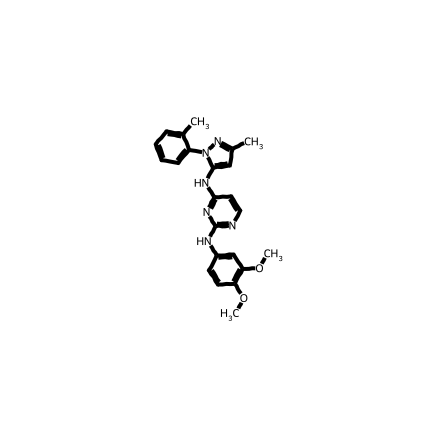 COc1ccc(Nc2nccc(Nc3cc(C)nn3-c3ccccc3C)n2)cc1OC